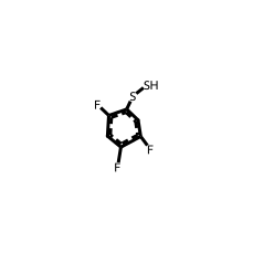 Fc1cc(F)c(SS)cc1F